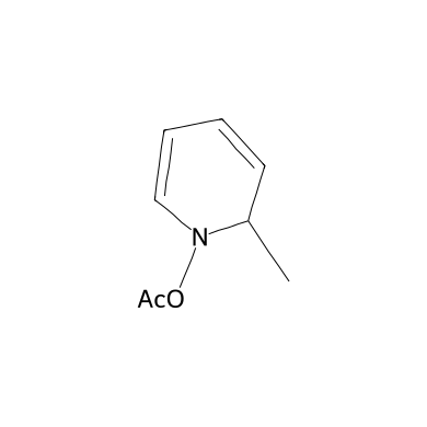 CC(=O)ON1C=CC=CC1C